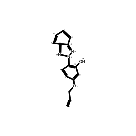 C=CCOc1ccc(-n2nc3ccccc3n2)c(O)c1